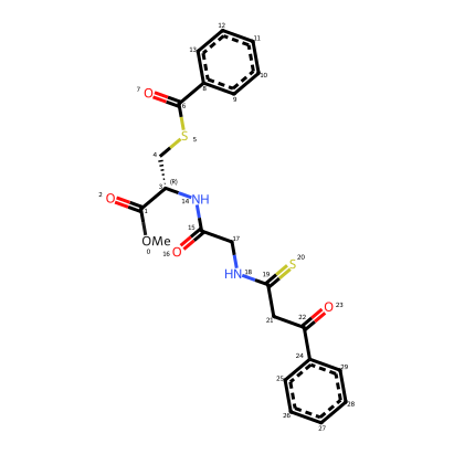 COC(=O)[C@H](CSC(=O)c1ccccc1)NC(=O)CNC(=S)CC(=O)c1ccccc1